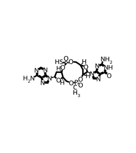 CP1(=O)OC[C@H]2O[C@@H](n3cnc4c(N)ncnc43)C[C@H]2OP(=O)(S)OC[C@@H]2C[C@@H](O1)[C@H](n1cnc3c(=O)[nH]c(N)nc31)O2